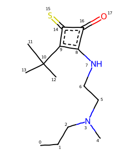 CCCN(C)CCNc1c(C(C)(C)C)c(=S)c1=O